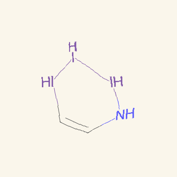 C1=C[IH][IH][IH]N1